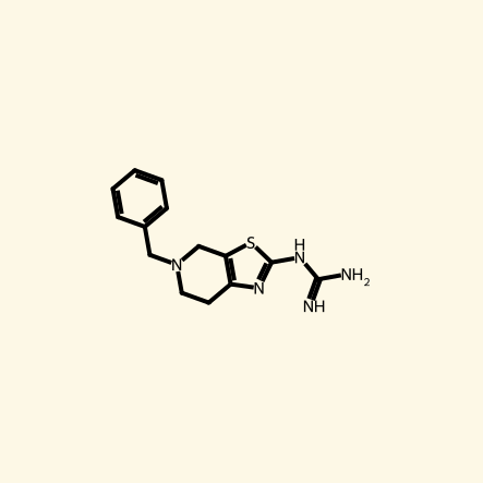 N=C(N)Nc1nc2c(s1)CN(Cc1ccccc1)CC2